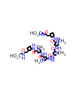 Cn1cc(NC(=O)Nc2cc(C(=O)Nc3cc(C(=O)Nc4cccc(CC(=O)NCC(=O)O)c4)n(C)c3)n(C)c2)cc1C(=O)Nc1cc(C(=O)Nc2cccc(CC(=O)NCC(=O)O)c2)n(C)c1